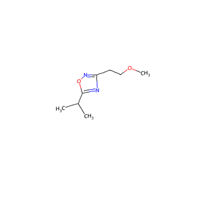 COCCc1noc(C(C)C)n1